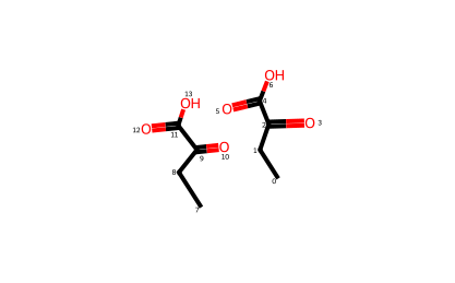 CCC(=O)C(=O)O.CCC(=O)C(=O)O